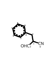 N#CC(C=O)Cc1ccccc1